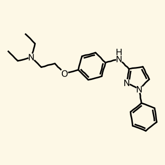 CCN(CC)CCOc1ccc(Nc2ccn(-c3ccccc3)n2)cc1